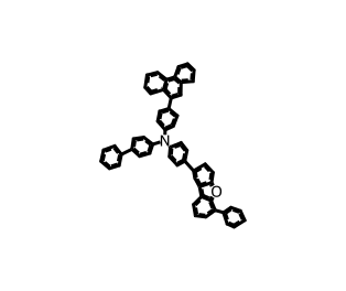 c1ccc(-c2ccc(N(c3ccc(-c4ccc5oc6c(-c7ccccc7)cccc6c5c4)cc3)c3ccc(-c4cc5ccccc5c5ccccc45)cc3)cc2)cc1